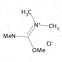 CNC(OC)=[N+](C)C.[Cl-]